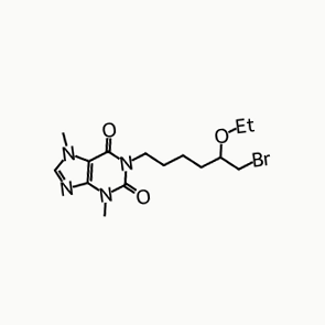 CCOC(CBr)CCCCn1c(=O)c2c(ncn2C)n(C)c1=O